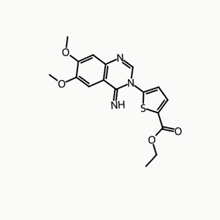 CCOC(=O)c1ccc(-n2cnc3cc(OC)c(OC)cc3c2=N)s1